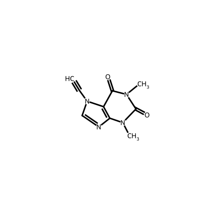 C#Cn1cnc2c1c(=O)n(C)c(=O)n2C